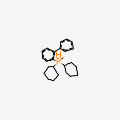 C[PH](c1ccccc1-c1ccccc1)(C1CCCCC1)C1CCCCC1